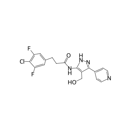 O=C(CCc1cc(F)c(Cl)c(F)c1)Nc1[nH]nc(-c2ccncc2)c1CO